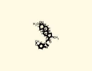 COc1ccc2nnn(CC(=O)C3[C@H](C)C[C@H]4[C@@H]5CC[C@H]6C[C@](C)(O)CC[C@]6(C)[C@H]5CC[C@]34C)c2c1